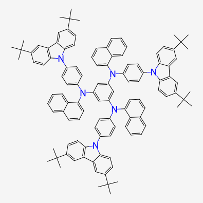 CC(C)(C)c1ccc2c(c1)c1cc(C(C)(C)C)ccc1n2-c1ccc(N(c2cc(N(c3ccc(-n4c5ccc(C(C)(C)C)cc5c5cc(C(C)(C)C)ccc54)cc3)c3cccc4ccccc34)cc(N(c3ccc(-n4c5ccc(C(C)(C)C)cc5c5cc(C(C)(C)C)ccc54)cc3)c3cccc4ccccc34)c2)c2cccc3ccccc23)cc1